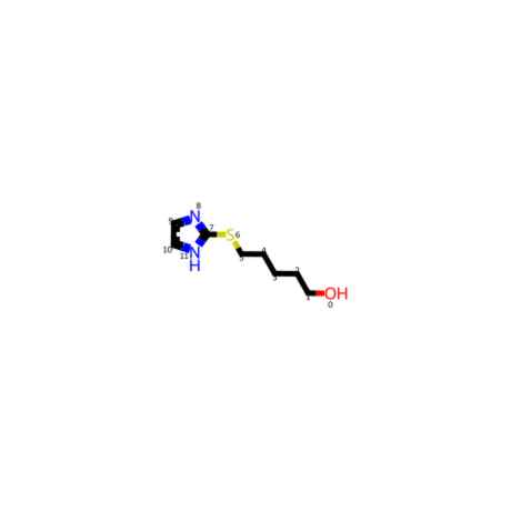 OCCCCCSc1ncc[nH]1